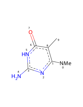 CNc1nc(N)[nH]c(=O)c1C